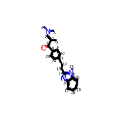 C/C(=C\N(C)C)C(=O)c1ccc(CCc2nc3ccccc3n2C)cc1